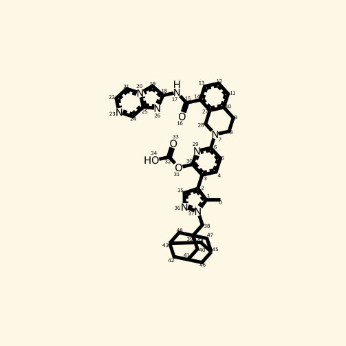 Cc1c(-c2ccc(N3CCc4cccc(C(=O)Nc5cn6ccncc6n5)c4C3)nc2OC(=O)O)cnn1CC12CC3CC(CC(C3)C1)C2